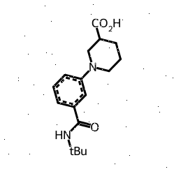 CC(C)(C)NC(=O)c1cccc(N2CCCC(C(=O)O)C2)c1